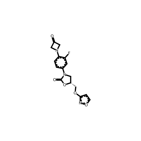 O=C1CN(c2ccc(N3C[C@H](COc4ccon4)OC3=O)cc2F)C1